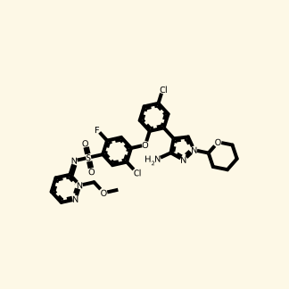 COCn1ncccc1=NS(=O)(=O)c1cc(Cl)c(Oc2ccc(Cl)cc2-c2cn(C3CCCCO3)nc2N)cc1F